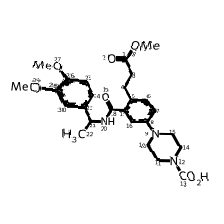 COC(=O)CCc1ccc(N2CCN(C(=O)O)CC2)cc1C(=O)NC(C)c1ccc(OC)c(OC)c1